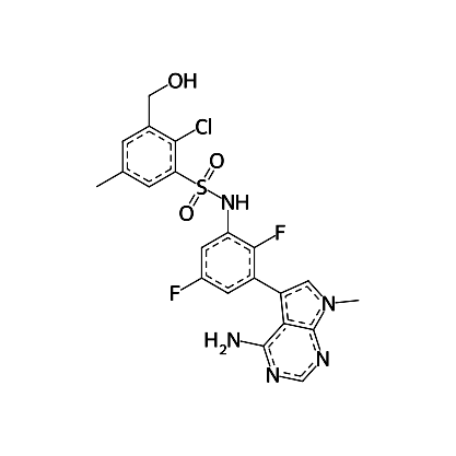 Cc1cc(CO)c(Cl)c(S(=O)(=O)Nc2cc(F)cc(-c3cn(C)c4ncnc(N)c34)c2F)c1